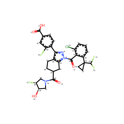 O=C(O)c1ccc(-c2nn(C(=O)c3c(Cl)cccc3C3(C(F)F)CC3)c3c2CCC(C(=O)N2C[C@@H](O)[C@@H](F)C2)C3)c(F)c1